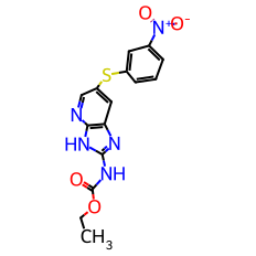 CCOC(=O)Nc1nc2cc(Sc3cccc([N+](=O)[O-])c3)cnc2[nH]1